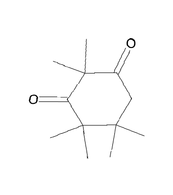 CC1(C)C(=O)CC(C)(C)C(C)(C)C1=O